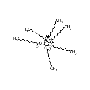 CCCCCCCCCC(=O)OC[C@H]1OC(OC(=O)CCCCCCCCC)(C(=O)CCCCCCCCC)[C@H](OC(=O)CCCCCCCCC)[C@@H](OC(=O)CCCCCCCCC)[C@@H]1OC(=O)CCCCCCCCC